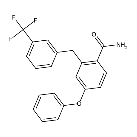 NC(=O)c1ccc(Oc2ccccc2)cc1Cc1cccc(C(F)(F)F)c1